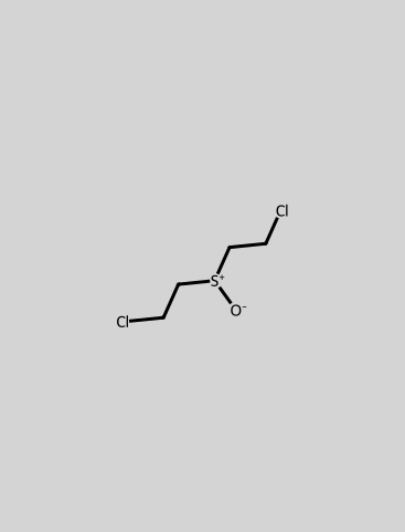 [O-][S+](CCCl)CCCl